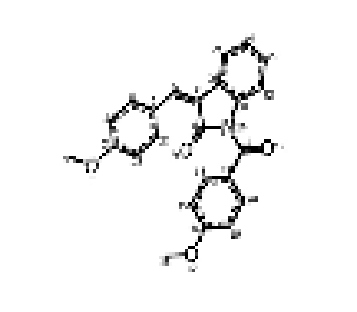 COc1ccc(C=C2C(=O)N(C(=O)c3ccc(OC)cc3)c3ccccc32)cc1